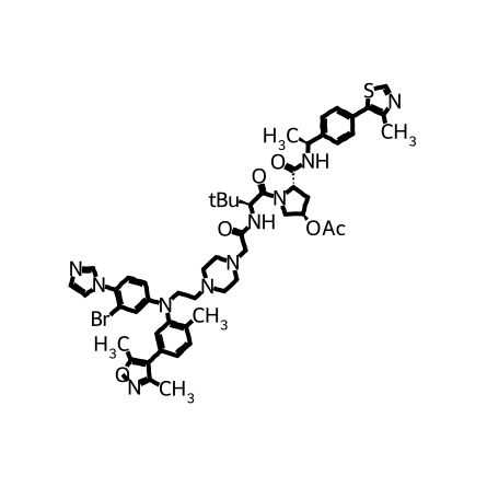 CC(=O)O[C@@H]1C[C@@H](C(=O)N[C@@H](C)c2ccc(-c3scnc3C)cc2)N(C(=O)[C@@H](NC(=O)CN2CCN(CCN(c3ccc(-n4ccnc4)c(Br)c3)c3cc(-c4c(C)noc4C)ccc3C)CC2)C(C)(C)C)C1